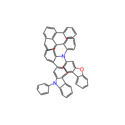 c1ccc(-c2cccc3cccc(-c4ccccc4N(c4ccc5c(c4)oc4ccccc45)c4ccccc4-c4ccc5c6ccccc6n(-c6ccccc6)c5c4)c23)cc1